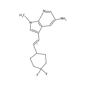 Cn1cc(/C=C/C2CCC(F)(F)CC2)c2cc(N)cnc21